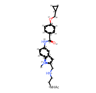 CC(=O)NCCNCc1cc2cc(NC(=O)c3ccc(OCC4CC4)cc3)ccc2n1C